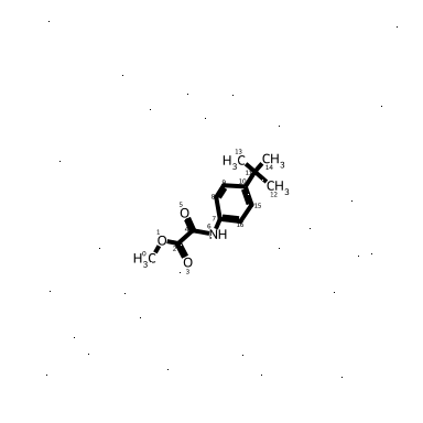 COC(=O)C(=O)Nc1ccc(C(C)(C)C)cc1